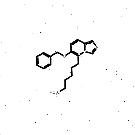 O=C(O)CCCCCc1c(OCc2ccccc2)ccc2cncn12